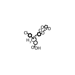 C[C@@H](c1ccc(Cl)cc1)N(Cc1ccc(OCCN2C(=O)CCC2=O)c(Cl)c1)CC1CCC(C(=O)O)CC1